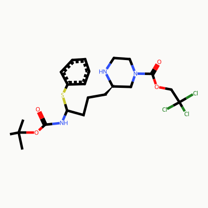 CC(C)(C)OC(=O)NC(CCC[C@@H]1CN(C(=O)OCC(Cl)(Cl)Cl)CCN1)Sc1ccccc1